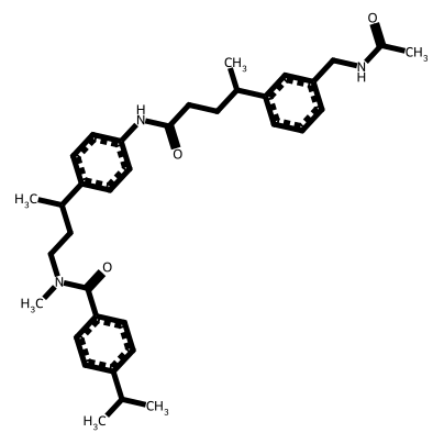 CC(=O)NCc1cccc(C(C)CCC(=O)Nc2ccc(C(C)CCN(C)C(=O)c3ccc(C(C)C)cc3)cc2)c1